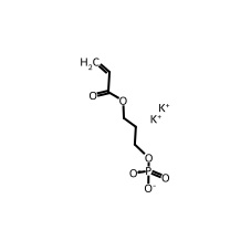 C=CC(=O)OCCCOP(=O)([O-])[O-].[K+].[K+]